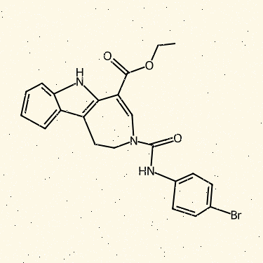 CCOC(=O)C1=CN(C(=O)Nc2ccc(Br)cc2)CCc2c1[nH]c1ccccc21